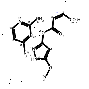 CC(C)Oc1cc(OC(=O)/C=C\C(=O)O)n[nH]1.Nc1ccnc(N)n1